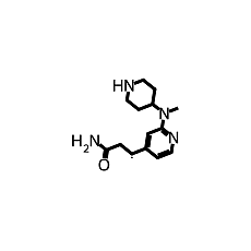 CN(c1cc([CH]CC(N)=O)ccn1)C1CCNCC1